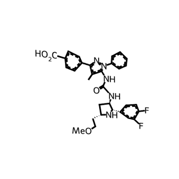 COCC[C@@H]1C[C@@H](NC(=O)Nc2c(C)c(-c3ccc(C(=O)O)cc3)nn2-c2ccccc2)[C@H](c2ccc(F)c(F)c2)N1